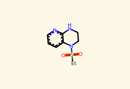 CCS(=O)(=O)N1CCNc2ncccc21